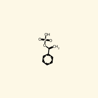 C=C(OS(=O)(=O)O)c1ccccc1